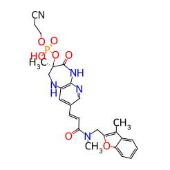 Cc1c(CN(C)C(=O)/C=C/c2cnc3c(c2)NC[C@@](C)(OP(=O)(O)OCCC#N)C(=O)N3)oc2ccccc12